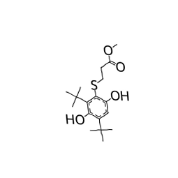 COC(=O)CCSc1c(O)cc(C(C)(C)C)c(O)c1C(C)(C)C